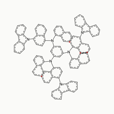 c1ccc2c(N(c3cc(N(c4cccc5ccccc45)c4ccc(-n5c6ccccc6c6ccccc65)c5ccccc45)cc(N(c4cccc5ccccc45)c4ccc(-n5c6ccccc6c6ccccc65)c5ccccc45)c3)c3ccc(-n4c5ccccc5c5ccccc54)c4ccccc34)cccc2c1